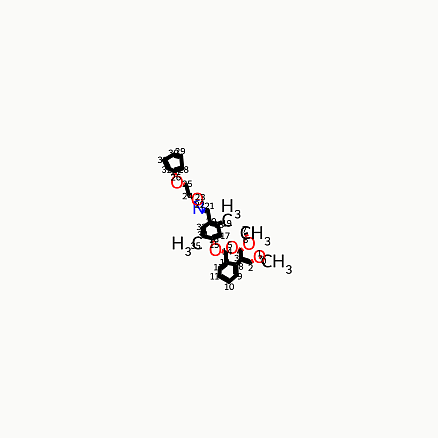 CO/C=C(\C(=O)OC)c1ccccc1COc1cc(C)c(/C=N/OCCOc2ccccc2)cc1C